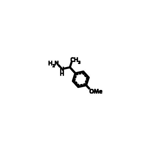 COc1ccc(C(C)NN)cc1